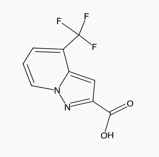 O=C(O)c1cc2c(C(F)(F)F)cccn2n1